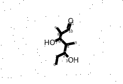 CCC(O)C(C)C(O)C(C)C=O